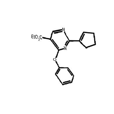 CCOC(=O)c1cnc(C2=CCCC2)nc1Oc1ccccc1